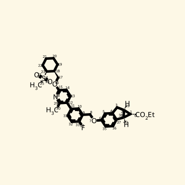 CCOC(=O)[C@H]1[C@@H]2Cc3cc(OCc4cc(-c5ccc(OC[C@@H]6CCCC[C@H]6S(C)(=O)=O)nc5C)ccc4F)ccc3[C@@H]21